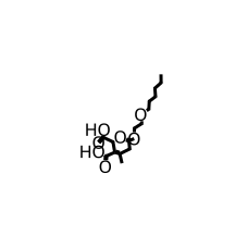 CCCCCCOCCOC(=O)CC(C)=C(CC(=O)O)C(=O)O